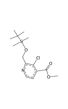 COC(=O)c1ccnc(CO[Si](C)(C)C(C)(C)C)c1Cl